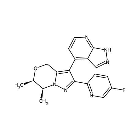 C[C@H]1OCc2c(-c3ccnc4[nH]ncc34)c(-c3ccc(F)cn3)nn2[C@H]1C